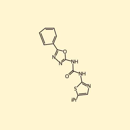 CC(C)c1cnc(NC(=O)Nc2nnc(-c3ccccc3)o2)s1